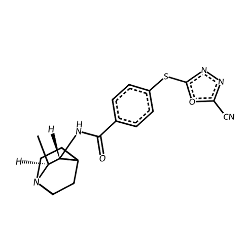 C[C@H]1[C@H](NC(=O)c2ccc(Sc3nnc(C#N)o3)cc2)C2CCN1CC2